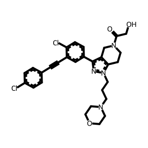 O=C(CO)N1CCc2c(c(-c3ccc(Cl)c(C#Cc4ccc(Cl)cc4)c3)nn2CCCN2CCOCC2)C1